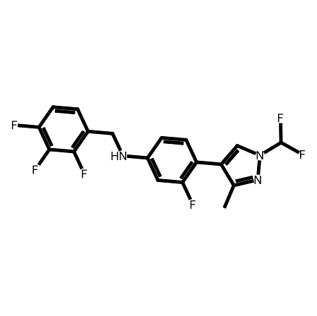 Cc1nn(C(F)F)cc1-c1ccc(NCc2ccc(F)c(F)c2F)cc1F